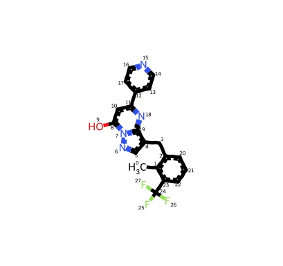 Cc1c(Cc2cnn3c(O)cc(-c4ccncc4)nc23)cccc1C(F)(F)F